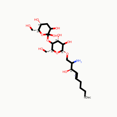 CCCCCCCCCCCCC/C=C/[C@@H](O)C(N)CO[C@@H]1O[C@H](CO)C(OC2(O)O[C@H](CO)[C@H](O)CC2O)[C@H](O)C1O